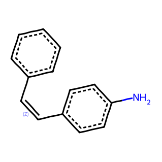 Nc1ccc(/C=C\c2ccccc2)cc1